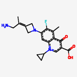 CC(CN)=C1CN(c2cc3c(c(C)c2F)c(=O)c(C(=O)O)cn3C2CC2)C1